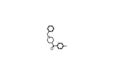 Cc1ccc(C(=O)C2CCN(Cc3ccccc3)CC2)cc1